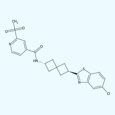 CS(=O)(=O)c1cc(C(=O)N[C@H]2CC3(C2)C[C@H](c2nc4cc(Cl)ccc4s2)C3)ccn1